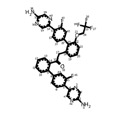 Nc1cnc(-c2ccc(-c3ccccc3C(=O)Cc3cccc(OCC(F)(F)F)c3-c3ccc(-c4cnc(N)cn4)c(F)c3)cc2F)cn1